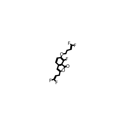 O=c1oc(CC=C(F)F)cc2ccc(OCCC=C(F)F)c(F)c12